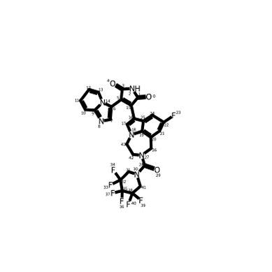 O=C1NC(=O)C(c2cnc3ccccn23)=C1c1cn2c3c(cc(F)cc13)CN(C(=O)N1CC(F)(F)C(F)(F)C(F)(F)C1)CC2